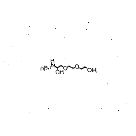 CCCCNC(O)COCCOCCO